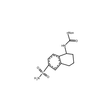 CCCCCCCCCC(=O)NC1CCCc2cc(S(N)(=O)=O)ccc21